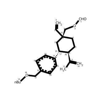 C=C[C@]1(COC=O)CC[C@@H](C(=C)C)[C@H](c2ccc(COCCCC)cc2)C1